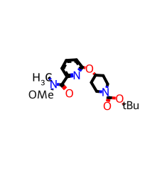 CON(C)C(=O)c1cccc(OC2CCN(C(=O)OC(C)(C)C)CC2)n1